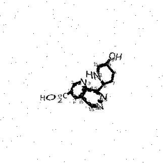 O=C(O)c1cnc2c(C3CCC(O)CN3)nncc2c1